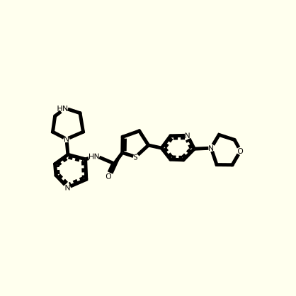 O=C(Nc1cnccc1N1CCNCC1)C1=CCC(c2ccc(N3CCOCC3)nc2)S1